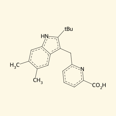 Cc1cc2[nH]c(C(C)(C)C)c(Cc3cccc(C(=O)O)n3)c2cc1C